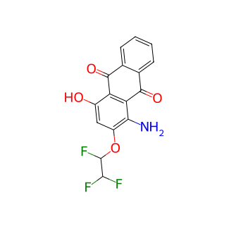 Nc1c(OC(F)C(F)F)cc(O)c2c1C(=O)c1ccccc1C2=O